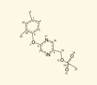 Cc1ccc(Oc2cnc(COS(C)(=O)=O)cn2)c(C)c1